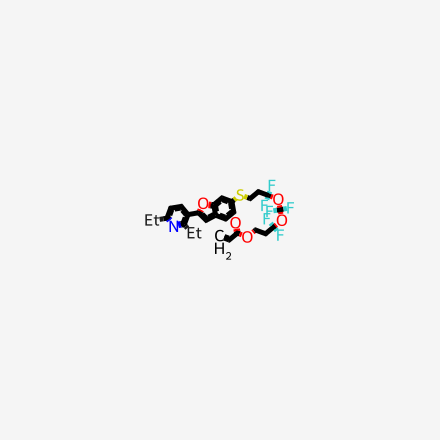 C=CC(=O)OCCC(F)(F)OC(F)(F)OC(F)(F)CCSc1ccc2cc(-c3ccc(CC)nc3CC)oc2c1